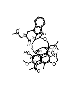 CNC[C@H]1Cc2c([nH]c3ccccc23)[C@@]2(CS[C@@H]3c4c(OC(C)=O)c(C)c5c(c4[C@H](COC2=O)C2[C@@H]3c3c(cc(C)c(OC)c3O)C[C@]2(O)CN(C)C)OCO5)N1